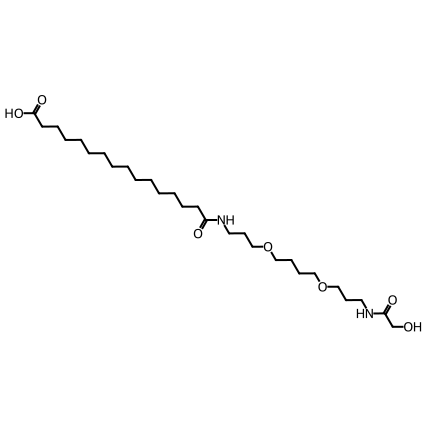 O=C(O)CCCCCCCCCCCCCCC(=O)NCCCOCCCCOCCCNC(=O)CO